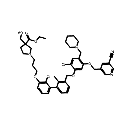 CCOC(=O)C1(CO)CCN(CCCOc2cccc(-c3cccc(COc4cc(OCc5cncc(C#N)c5)c(CN5CCCCC5)cc4Cl)c3C)c2Cl)C1